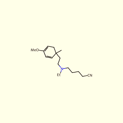 CCN(CCCCC#N)CCC1(C)C=CC(OC)=CC1